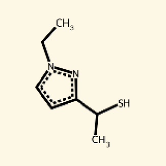 CCn1ccc(C(C)S)n1